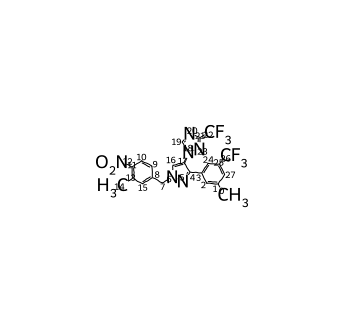 Cc1cc(-c2nn(Cc3ccc([N+](=O)[O-])c(C)c3)cc2-n2cnc(C(F)(F)F)n2)cc(C(F)(F)F)c1